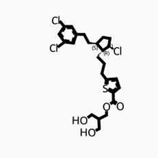 O=C(OCC(CO)CO)c1ccc(CCC[C@@H]2[C@@H](CCc3cc(Cl)cc(Cl)c3)CC[C@H]2Cl)s1